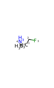 B.CCF.N